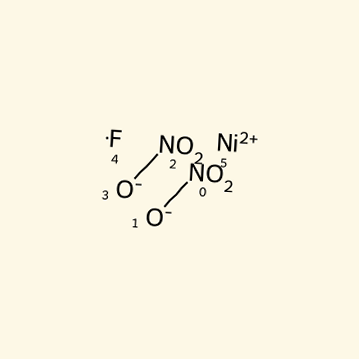 O=[N+]([O-])[O-].O=[N+]([O-])[O-].[F].[Ni+2]